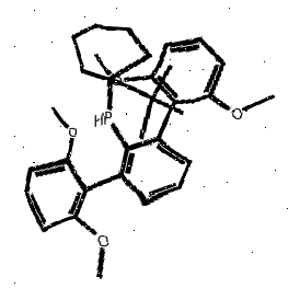 COc1cccc(OC)c1-c1cccc(-c2c(OC)cccc2OC)c1PC1(C(C)(C)C)CCCCC1